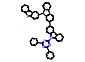 c1ccc(-c2nc(-c3ccccc3)nc(-n3c4ccccc4c4cc(-c5ccc6c(c5)C(c5ccc7sc8ccccc8c7c5)c5ccccc5-6)ccc43)n2)cc1